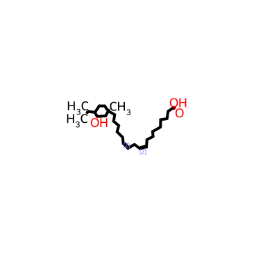 CC(C)C1CCC(C)(CCCCC/C=C\C/C=C\CCCCCCCC(=O)O)CC1O